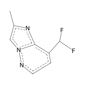 Cc1cn2nccc(C(F)F)c2n1